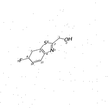 OCc1nc2c(s1)CC(F)C=C2